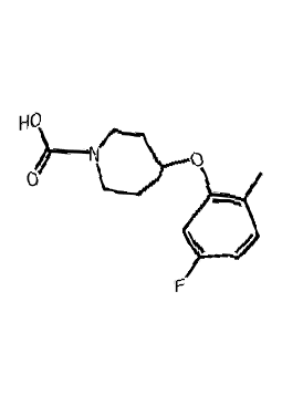 Cc1ccc(F)cc1OC1CCN(C(=O)O)CC1